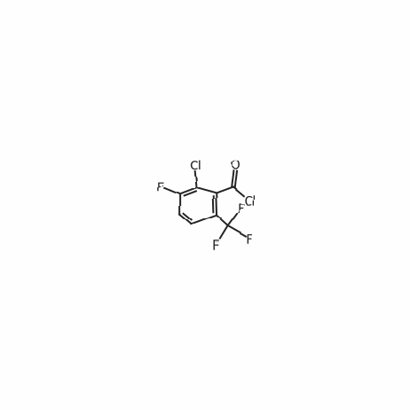 O=C(Cl)c1c(C(F)(F)F)ccc(F)c1Cl